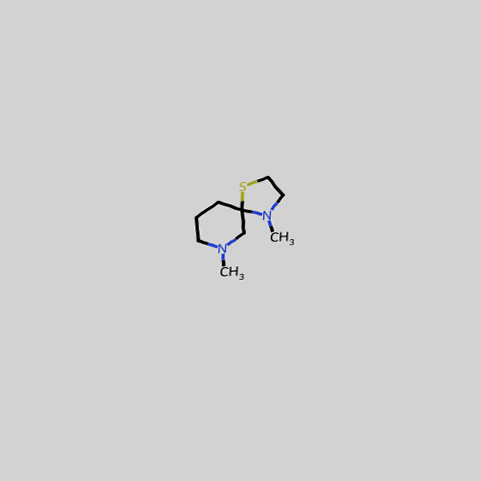 CN1CCCC2(C1)SCCN2C